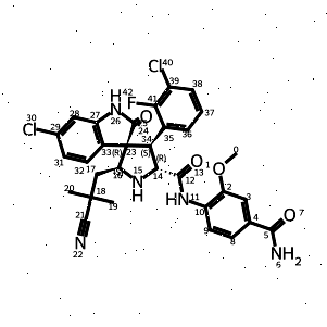 COc1cc(C(N)=O)ccc1NC(=O)[C@@H]1N[C@@H](CC(C)(C)C#N)[C@@]2(C(=O)Nc3cc(Cl)ccc32)[C@H]1c1cccc(Cl)c1F